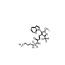 CCCCNS(=O)(=O)NC(=O)C=Cc1c(C(F)(F)F)nn(C)c1-n1ccc2cccnc21